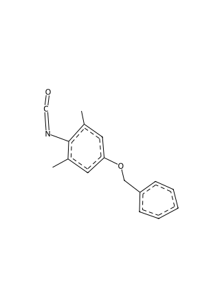 Cc1cc(OCc2ccccc2)cc(C)c1N=C=O